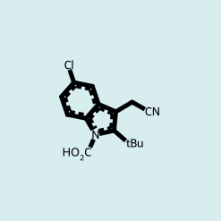 CC(C)(C)c1c(CC#N)c2cc(Cl)ccc2n1C(=O)O